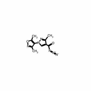 Cc1nn(-c2c(C)noc2C)cc1C(=O)N=[N+]=[N-]